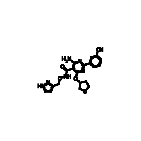 N#Cc1cccc(-c2nc(N)c(C(=O)NOCc3cc[nH]n3)c(O[C@H]3CCOC3)n2)c1